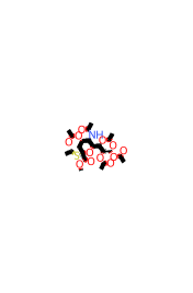 CCS[C@]1(C(=O)OC)CC(OC(C)=O)[C@@H](NC(C)=O)C([C@H](OC(C)=O)[C@@H](COC(C)=O)OC(C)=O)O1